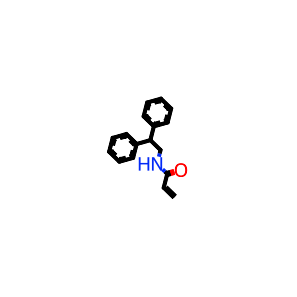 C=CC(=O)NCC(c1ccccc1)c1ccccc1